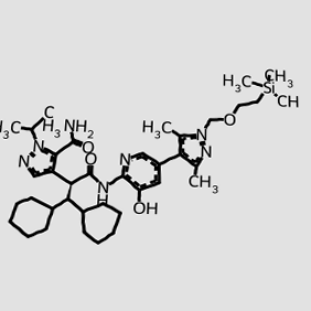 Cc1nn(COCC[Si](C)(C)C)c(C)c1-c1cnc(NC(=O)[C@H](c2cnn(C(C)C)c2C(N)=O)C(C2CCCCC2)C2CCCCC2)c(O)c1